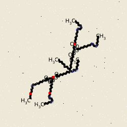 CCCCC/C=C\C=C\C(CCCCCCCC(=O)OCC(COC(=O)CCCCCCC/C=C\CCCCCCCC)OC(=O)CCCCCCC/C=C\C/C=C\CCCCC)C(CCCCCCCCC)CCCCCCCC(=O)OCC(COC(=O)CCCCCCC/C=C\C/C=C\CCCCC)OC(=O)CCCCCCC/C=C\C/C=C\CCCCC